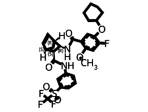 COc1cc(F)c(OC2CCCCC2)cc1C(=O)N[C@H]1[C@@H](C(=O)Nc2cccc(S(=O)(=O)C(F)(F)F)c2)[C@@H]2C=C[C@H]1C2